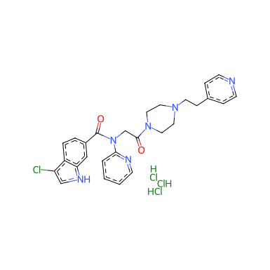 Cl.Cl.Cl.O=C(CN(C(=O)c1ccc2c(Cl)c[nH]c2c1)c1ccccn1)N1CCN(CCc2ccncc2)CC1